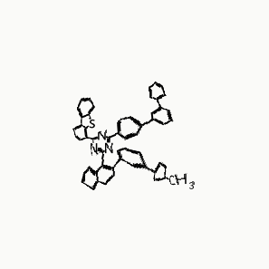 CC1C=CC(c2cccc(-c3ccc4ccccc4c3-c3nc(-c4ccc(-c5cccc(-c6ccccc6)c5)cc4)nc(-c4cccc5c4sc4ccccc45)n3)c2)=CC1